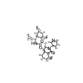 Cc1c(OC(=O)N[C@H](c2cc(F)cc(F)c2)C2CC2)c2cccc(F)c2c(=O)n1-c1cccnc1